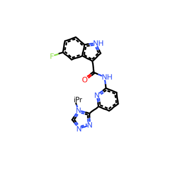 CC(C)n1cnnc1-c1cccc(NC(=O)c2c[nH]c3ccc(F)cc23)n1